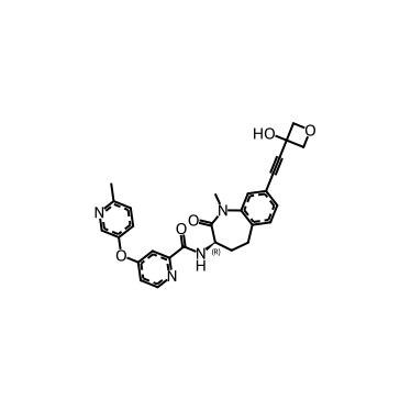 Cc1ccc(Oc2ccnc(C(=O)N[C@@H]3CCc4ccc(C#CC5(O)COC5)cc4N(C)C3=O)c2)cn1